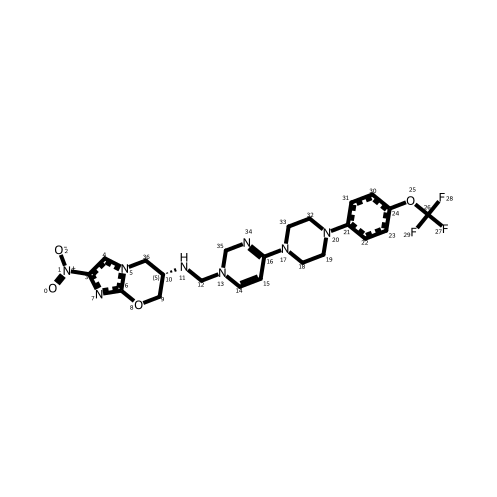 O=[N+]([O-])c1cn2c(n1)OC[C@@H](NCN1C=CC(N3CCN(c4ccc(OC(F)(F)F)cc4)CC3)=NC1)C2